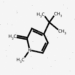 C=C1C=C(C(C)(C)C)C=CN1C